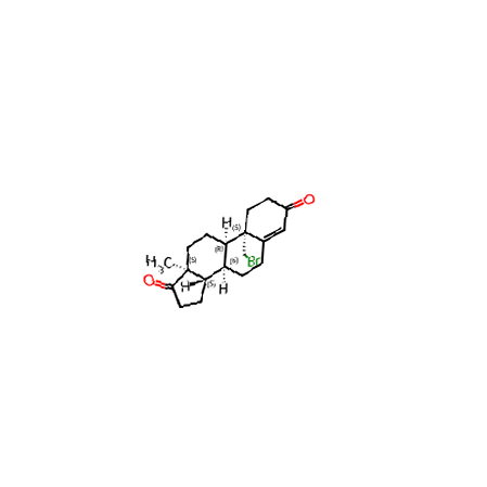 C[C@]12CC[C@@H]3[C@@H](CCC4=CC(=O)CC[C@@]43CBr)[C@@H]1CCC2=O